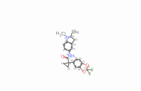 CN1c2ccc(NC(=O)C3(c4ccc5c(c4)OC(F)(F)O5)CC3)cc2CC1C(C)(C)C